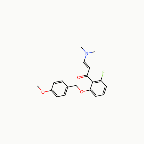 COc1ccc(COc2cccc(F)c2C(=O)C=CN(C)C)cc1